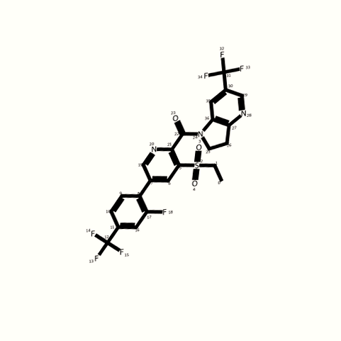 CCS(=O)(=O)c1cc(-c2ccc(C(F)(F)F)cc2F)cnc1C(=O)N1CCc2ncc(C(F)(F)F)cc21